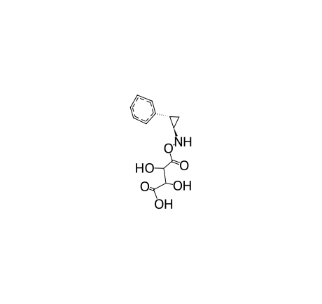 O=C(O)C(O)C(O)C(=O)ON[C@@H]1C[C@H]1c1ccccc1